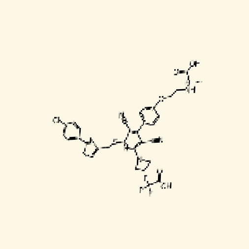 C[C@H](NCCOc1ccc(-c2c(C#N)c(SCc3csc(-c4ccc(Cl)cc4)n3)nc(N3CCC3)c2C#N)cc1)C(=O)O.O=C(O)C(F)(F)F